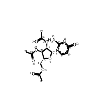 CC(=O)OC[C@H]1O[C@@H](n2ccc(=O)nc2N)[C@H](OC(C)=O)[C@@H]1OC(C)=O